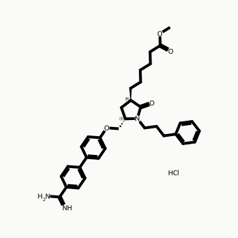 COC(=O)CCCCC[C@@H]1C[C@@H](COc2ccc(-c3ccc(C(=N)N)cc3)cc2)N(CCCc2ccccc2)C1=O.Cl